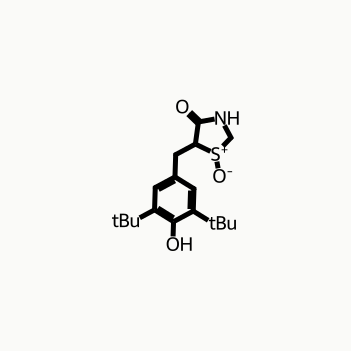 CC(C)(C)c1cc(CC2C(=O)NC[S+]2[O-])cc(C(C)(C)C)c1O